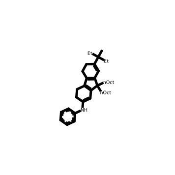 CCCCCCCCC1(CCCCCCCC)C2=C(CCC(Nc3ccccc3)=C2)C2=C1C=C(C(C)(CC)CC)CC2